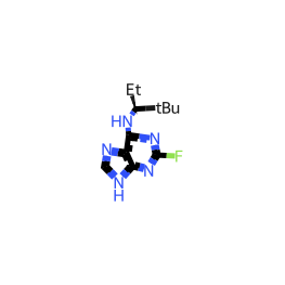 CC[C@H](Nc1nc(F)nc2[nH]cnc12)C(C)(C)C